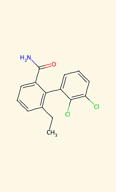 CCc1cccc(C(N)=O)c1-c1cccc(Cl)c1Cl